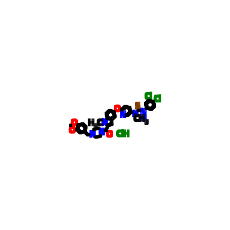 CN(C(=S)Nc1ccc(Cl)c(Cl)c1)c1ccc(Oc2ccc3c(c2)cc(C(=O)N2CCN(Cc4ccc5c(c4)OCO5)CC2)n3C)nc1.Cl